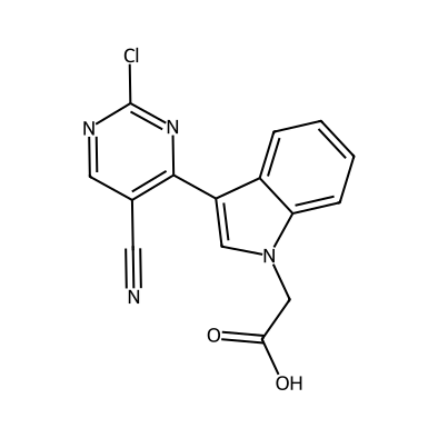 N#Cc1cnc(Cl)nc1-c1cn(CC(=O)O)c2ccccc12